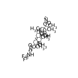 CC(C)C(OC(=O)N1CCC1)C1C[C@@H](C)[C@H]2C(O1)[C@H](O)[C@@]1(C)C3CC[C@H]4C(C)(C)C(OC(=O)N5CC(NCC(F)(F)F)C5)CCC45CC35CCC21C